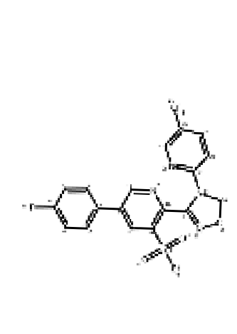 CCS(=O)(=O)c1cc(-c2ccc(F)cc2)cnc1C1=NOCN1c1ccc(C(F)(F)F)cn1